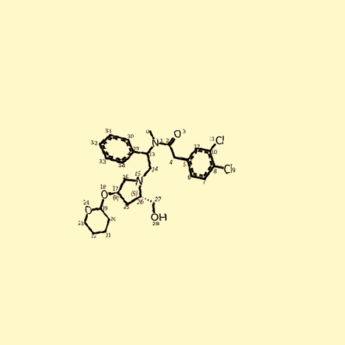 CN(C(=O)Cc1ccc(Cl)c(Cl)c1)C(CN1C[C@H](OC2CCCCO2)C[C@H]1CO)c1ccccc1